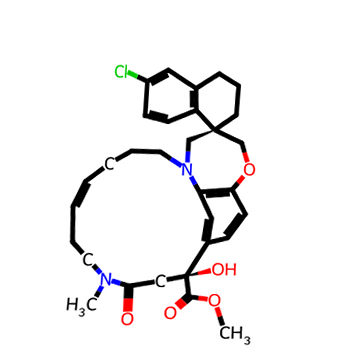 COC(=O)[C@]1(O)CC(=O)N(C)CC/C=C\CCCN2C[C@@]3(CCCc4cc(Cl)ccc43)COc3ccc1cc32